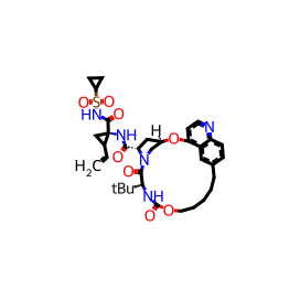 C=CC1C[C@]1(NC(=O)[C@@H]1C[C@@H]2CN1C(=O)[C@H](C(C)(C)C)NC(=O)OCCCCCc1ccc3nccc(c3c1)O2)C(=O)NS(=O)(=O)C1CC1